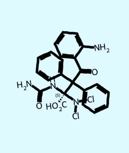 NC(=O)N[C@](C(=O)O)(N(Cl)Cl)C(C(=O)c1ccccc1N)(c1ccccc1)c1ccccc1